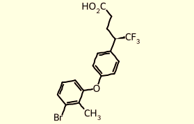 Cc1c(Br)cccc1Oc1ccc([C@@H](CCC(=O)O)C(F)(F)F)cc1